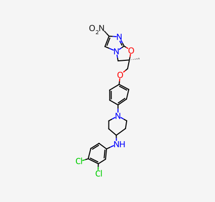 C[C@]1(COc2ccc(N3CCC(Nc4ccc(Cl)c(Cl)c4)CC3)cc2)Cn2cc([N+](=O)[O-])nc2O1